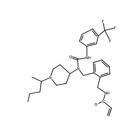 C=C[S+]([O-])NCc1ccccc1CN(C(=O)Nc1cccc(C(F)(F)F)c1)C1CCN(C(C)CCC)CC1